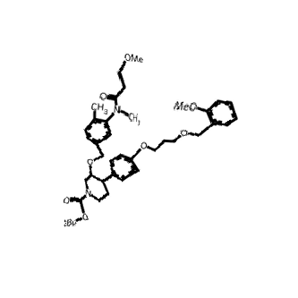 COCCC(=O)N(C)c1cc(COC2CN(C(=O)OC(C)(C)C)CCC2c2ccc(OCCCOCc3ccccc3OC)cc2)ccc1C